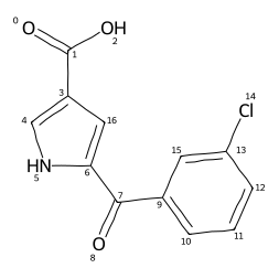 O=C(O)c1c[nH]c(C(=O)c2cccc(Cl)c2)c1